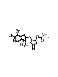 Cn1c(CC2CNCC2OC(N)=O)cc2c(Br)c(Cl)ncc21